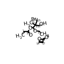 C=CC(=O)OC(OCC)C(C)(CO)CBr.O=C1C=CO1